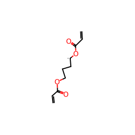 C=CC(=O)O[CH]CCCOC(=O)C=C